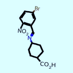 O=C(O)C1CCC(N=Cc2cc(Br)ccc2[N+](=O)[O-])CC1